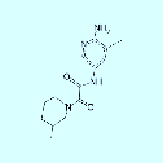 Cc1cc(NC(=O)C(=O)N2CCCC(C)C2)cnc1N